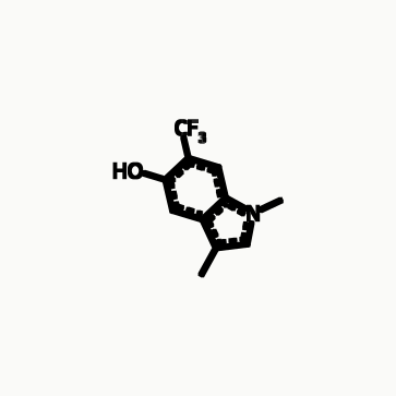 Cc1cn(C)c2cc(C(F)(F)F)c(O)cc12